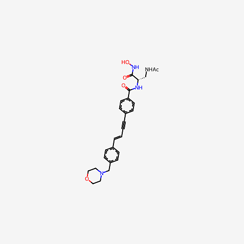 CC(=O)NC[C@H](NC(=O)c1ccc(C#C/C=C/c2ccc(CN3CCOCC3)cc2)cc1)C(=O)NO